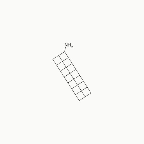 NC1C2CC3C4C5C6C7C8CC9CC%10C%11C%12C%13C%14C1C23C4%14C5%13C6%12C7%11C98%10